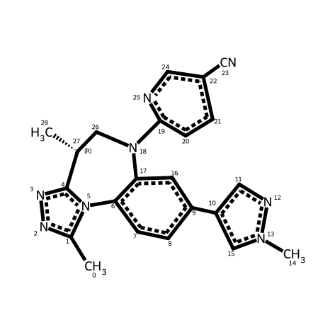 Cc1nnc2n1-c1ccc(-c3cnn(C)c3)cc1N(c1ccc(C#N)cn1)C[C@H]2C